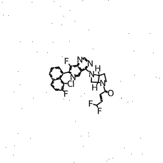 O=C(/C=C/C(F)F)N1CC[C@@H]2[C@H]1CN2c1ncnc2c(F)c(-c3cccc4ccc(F)c(Cl)c34)ncc12